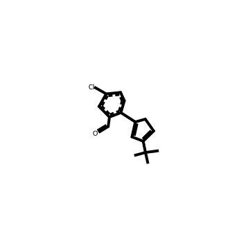 CC(C)(C)C1=CCC(c2ccc(Cl)cc2C=O)=C1